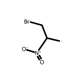 [CH2]C(CBr)[N+](=O)[O-]